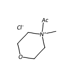 CC(=O)[N+]1(C)CCOCC1.[Cl-]